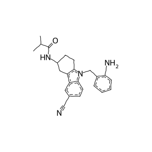 CC(C)C(=O)NC1CCc2c(c3cc(C#N)ccc3n2Cc2ccccc2N)C1